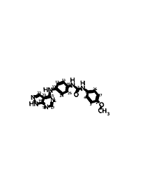 COc1ccc(NC(=O)Nc2ccc(Nc3ncnc4[nH]ncc34)cc2)cc1